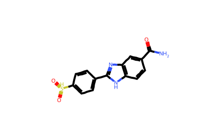 NC(=O)c1ccc2[nH]c(-c3ccc([SH](=O)=O)cc3)nc2c1